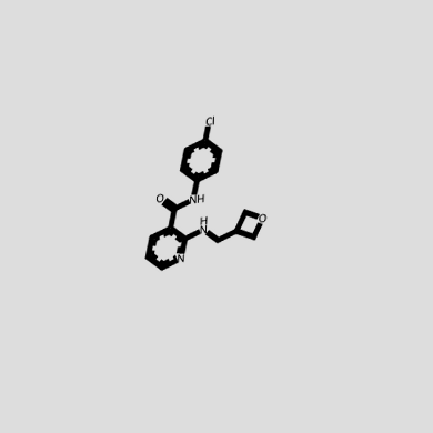 O=C(Nc1ccc(Cl)cc1)c1cccnc1NCC1COC1